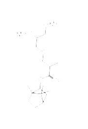 COCC(CSCC(C)C(=O)OC1CC2CCC1(C)C2(C)C)OC